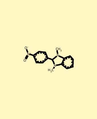 CN1c2ccccc2N(C)C1c1ccc([N+](=O)[O-])cc1